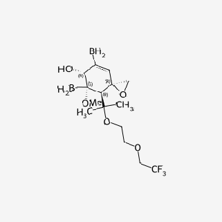 BC1=C[C@]2(CO2)[C@@H](C(C)(C)OCCOCC(F)(F)F)[C@](B)(OC)[C@@H]1O